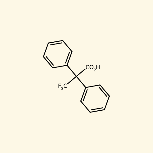 O=C(O)C(c1cc[c]cc1)(c1ccccc1)C(F)(F)F